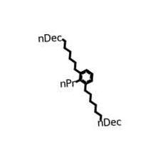 [CH2]CCc1c(CCCCCCCCCCCCCCCC)cccc1CCCCCCCCCCCCCCCC